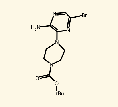 CC(C)(C)OC(=O)N1CCN(c2nc(Br)cnc2N)CC1